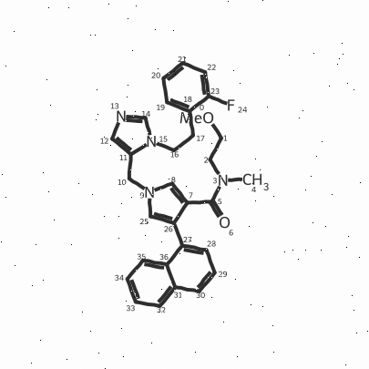 COCCN(C)C(=O)c1cn(Cc2cncn2CCc2ccccc2F)cc1-c1cccc2ccccc12